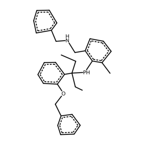 CCC(CC)(Pc1c(C)cccc1CNCc1ccccc1)c1ccccc1OCc1ccccc1